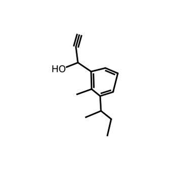 C#CC(O)c1cccc(C(C)CC)c1C